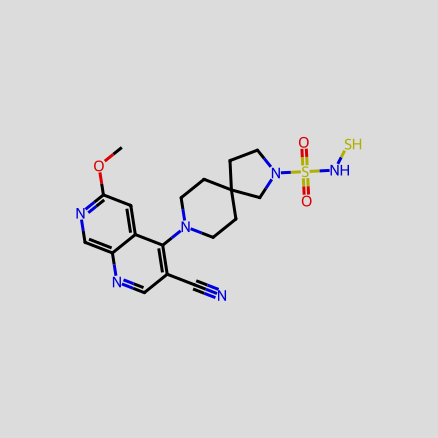 COc1cc2c(N3CCC4(CC3)CCN(S(=O)(=O)NS)C4)c(C#N)cnc2cn1